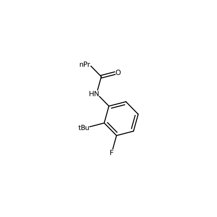 CCCC(=O)Nc1cccc(F)c1C(C)(C)C